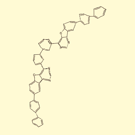 c1ccc(-c2ccc(-c3ccc4oc5c(-c6cccc(-c7cccc(-c8ncnc9c8oc8ccc(-c%10ccc(-c%11ccccc%11)cc%10)cc89)c7)c6)ncnc5c4c3)cc2)cc1